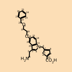 NCCc1cn(Cc2ccc(C(=O)O)s2)c2ccc(OCCOCc3ccccc3)cc12